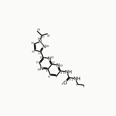 CCNC(=O)Nc1ccc2ncc(-c3ccn(C(C)C)n3)nc2n1